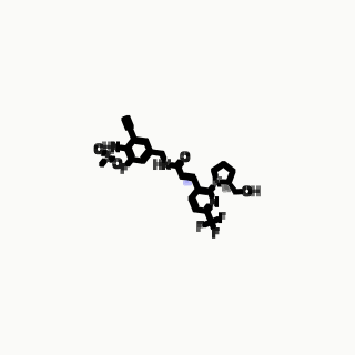 C#Cc1cc(CNC(=O)/C=C/c2ccc(C(F)(F)F)nc2N2CCC[C@H]2CO)cc(F)c1NS(C)(=O)=O